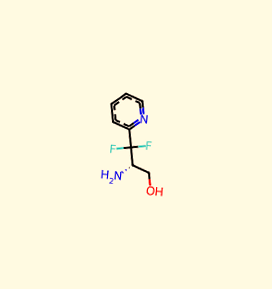 N[C@@H](CO)C(F)(F)c1ccccn1